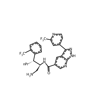 CCC[C@H](c1ccccc1C(F)(F)F)[C@H](CN)NC(=O)c1cnc2[nH]nc(-c3ccnc(C(F)(F)F)c3)c2c1